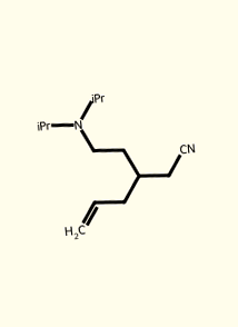 C=CCC(CC#N)CCN(C(C)C)C(C)C